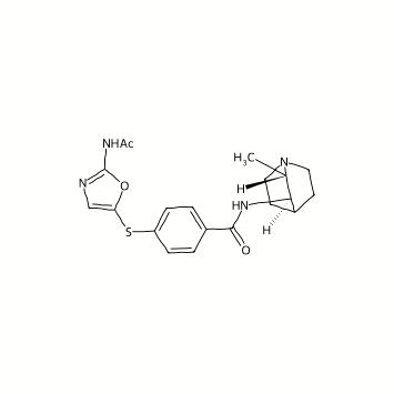 CC(=O)Nc1ncc(Sc2ccc(C(=O)N[C@@H]3C4CCN(CC4)[C@H]3C)cc2)o1